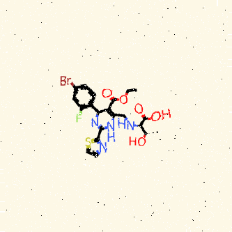 CCOC(=O)C1=C(CN[C@@H](C(=O)O)[C@H](C)O)NC(c2nccs2)=NC1c1ccc(Br)cc1F